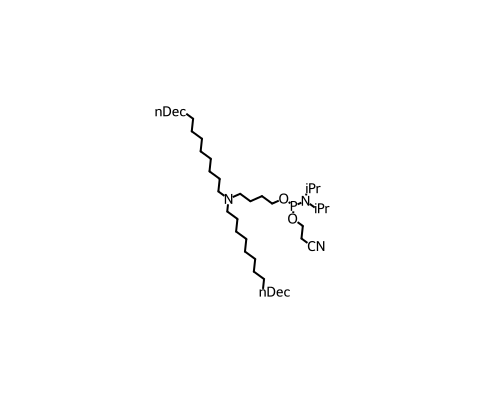 CCCCCCCCCCCCCCCCCCN(CCCCCCCCCCCCCCCCCC)CCCCOP(OCCC#N)N(C(C)C)C(C)C